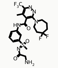 Cc1c(C(F)(F)F)nnc(N2CCCC(F)(F)CC2)c1C(=O)Nc1cccc(S(C)(=O)=NC(=O)CN)c1